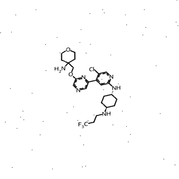 NC1(COc2cncc(-c3cc(N[C@H]4CC[C@H](NCCC(F)(F)F)CC4)ncc3Cl)n2)CCOCC1